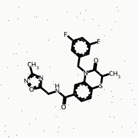 Cc1noc(CNC(=O)c2ccc3c(c2)N(Cc2cc(F)cc(F)c2)C(=O)C(C)S3)n1